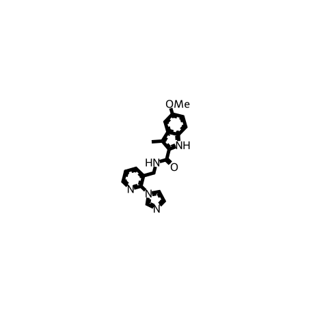 COc1ccc2[nH]c(C(=O)NCc3cccnc3-n3ccnc3)c(C)c2c1